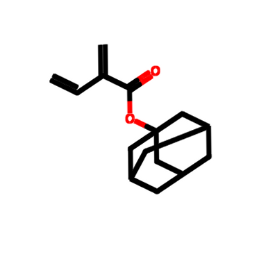 C=CC(=C)C(=O)OC12CC3CC(CC(C3)C1)C2